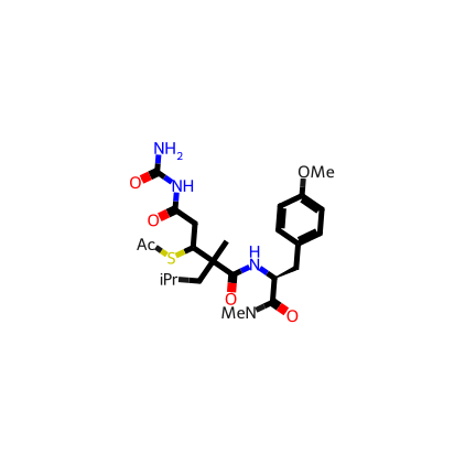 CNC(=O)[C@H](Cc1ccc(OC)cc1)NC(=O)C(C)(CC(C)C)C(CC(=O)NC(N)=O)SC(C)=O